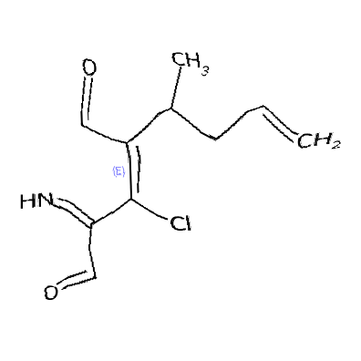 C=CCC(C)/C(C=O)=C(\Cl)C(=N)C=O